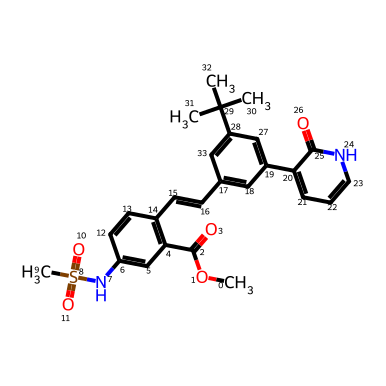 COC(=O)c1cc(NS(C)(=O)=O)ccc1/C=C/c1cc(-c2ccc[nH]c2=O)cc(C(C)(C)C)c1